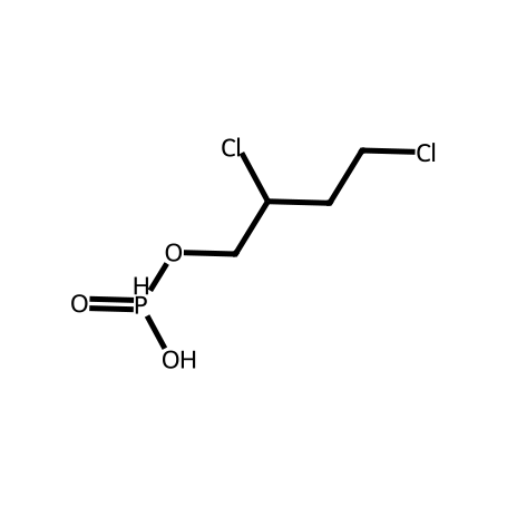 O=[PH](O)OCC(Cl)CCCl